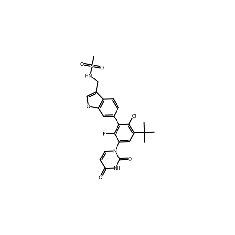 CC(C)(C)c1cc(-n2ccc(=O)[nH]c2=O)c(F)c(-c2ccc3c(CNS(C)(=O)=O)coc3c2)c1Cl